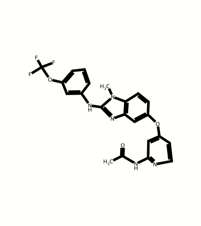 CC(=O)Nc1cc(Oc2ccc3c(c2)nc(Nc2cccc(OC(F)(F)F)c2)n3C)ccn1